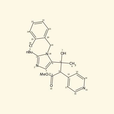 CCCCc1ncc(C(C)(O)C(C(=O)OC)c2ccncc2)n1Cc1ccccc1Cl